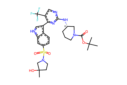 CC1(O)CCN(S(=O)(=O)c2ccc3c(-c4nc(N[C@H]5CCCN(C(=O)OC(C)(C)C)C5)ncc4C(F)(F)F)c[nH]c3c2)C1